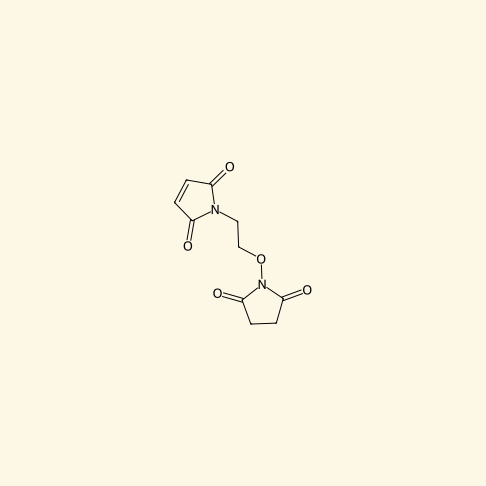 O=C1C=CC(=O)N1CCON1C(=O)CCC1=O